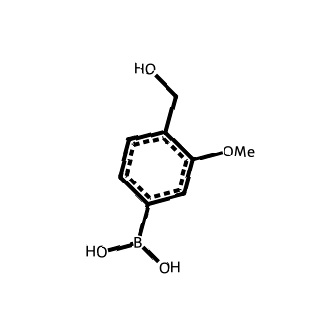 COc1cc(B(O)O)ccc1CO